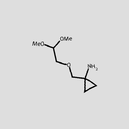 COC(COCC1(N)CC1)OC